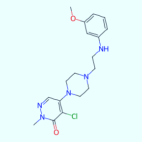 COc1cccc(NCCN2CCN(c3cnn(C)c(=O)c3Cl)CC2)c1